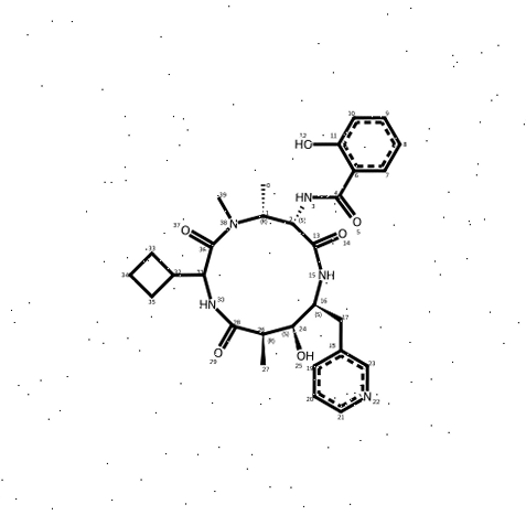 C[C@@H]1[C@H](NC(=O)c2ccccc2O)C(=O)N[C@@H](Cc2cccnc2)[C@@H](O)[C@@H](C)C(=O)NC(C2CCC2)C(=O)N1C